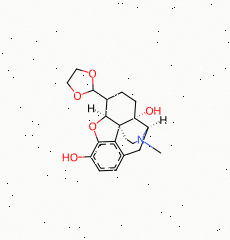 CN1CC[C@]23c4c5ccc(O)c4O[C@H]2C(C2OCCO2)CC[C@@]3(O)[C@H]1C5